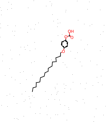 CCCCCCCCCCCCCCCCOc1ccc(OC(=O)O)cc1